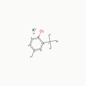 Cc1ccc([O-])c(C(C)(C)C)c1.[K+]